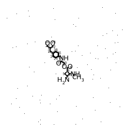 CNC1C(N)CC1C(=O)OCC(=O)Nc1ccc(CC(C=O)C=O)cc1